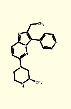 CCc1nc2ccc(N3CCN[C@H](C)C3)nn2c1-c1ccncc1